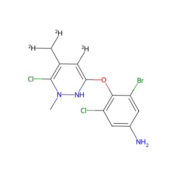 [2H]C1=C(Oc2c(Cl)cc(N)cc2Br)NN(C)C(Cl)=C1C([2H])[2H]